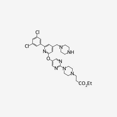 CCOC(=O)CCN1CCN(c2ncc(Oc3cc(CN4CCNCC4)cc(-c4cc(Cl)cc(Cl)c4)n3)cn2)CC1